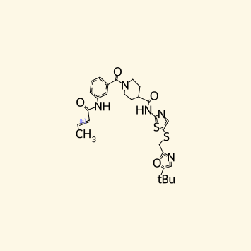 C/C=C/C(=O)Nc1cccc(C(=O)N2CCC(C(=O)Nc3ncc(SCc4ncc(C(C)(C)C)o4)s3)CC2)c1